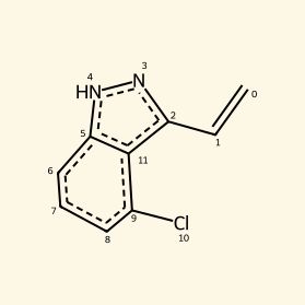 C=Cc1n[nH]c2cccc(Cl)c12